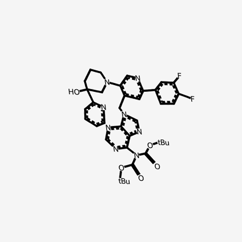 CC(C)(C)OC(=O)N(C(=O)OC(C)(C)C)c1ncnc2c1ncn2Cc1cc(-c2ccc(F)c(F)c2)ncc1N1CCCC(O)(c2ccccn2)C1